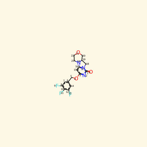 O=c1nc(OCc2cc(F)c(F)c(F)c2)cc2n1CC1COCCN21